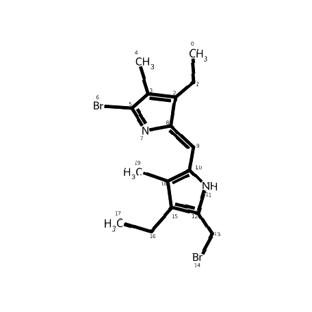 CCC1=C(C)C(Br)=N/C1=C\c1[nH]c(CBr)c(CC)c1C